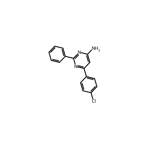 Nc1cc(-c2ccc(Cl)cc2)nc(-c2ccccc2)n1